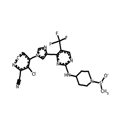 C[S+]([O-])N1CCC(Nc2ncc(C(F)(F)F)c(-c3cn(-c4ccnc(C#N)c4Cl)cn3)n2)CC1